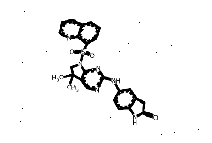 CC1(C)CN(S(=O)(=O)c2cccc3cccnc23)c2nc(Nc3ccc4c(c3)CC(=O)N4)ncc21